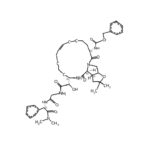 CN(C)C(=O)[C@@H](NC(=O)CNC(=O)C(O)[C@@H]1CCCCC=CCCCC[C@H](NC(=O)OCc2ccccc2)C(=O)N2CC3OC(C)(C)C[C@@H]3[C@H]2C(=O)N1)c1ccccc1